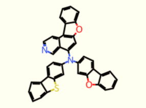 c1ccc2c(c1)oc1cc(N(c3ccc4c(c3)sc3ccccc34)c3cc4oc5ccccc5c4c4ccncc34)ccc12